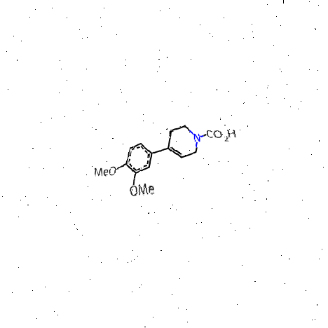 COc1ccc(C2=CCN(C(=O)O)CC2)cc1OC